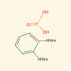 CCCCCCc1ccccc1CCCCCC.O=[PH](O)O